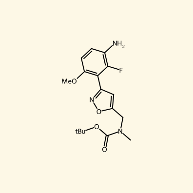 COc1ccc(N)c(F)c1-c1cc(CN(C)C(=O)OC(C)(C)C)on1